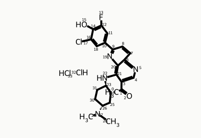 CC(=O)c1cnc2ccc(-c3cc(F)c(O)c(Cl)c3)nc2c1N[C@H]1CC[C@H](N(C)C)CC1.Cl.Cl